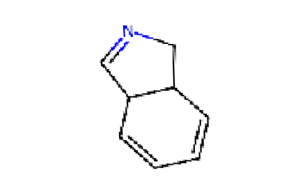 C1=CC2C=NCC2C=C1